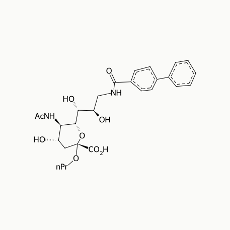 CCCO[C@]1(C(=O)O)C[C@H](O)[C@@H](NC(C)=O)[C@H]([C@H](O)[C@H](O)CNC(=O)c2ccc(-c3ccccc3)cc2)O1